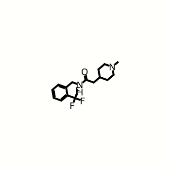 CN1CCC(CC(=O)NCc2ccccc2C(F)(F)F)CC1